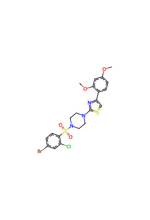 COc1ccc(-c2csc(N3CCN(S(=O)(=O)c4ccc(Br)cc4Cl)CC3)n2)c(OC)c1